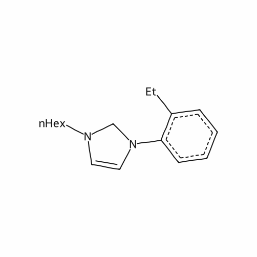 CCCCCCN1C=CN(c2ccccc2CC)C1